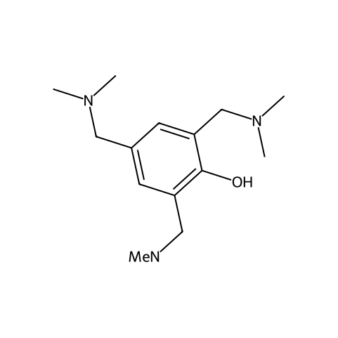 CNCc1cc(CN(C)C)cc(CN(C)C)c1O